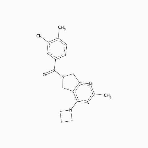 Cc1nc2c(c(N3CCC3)n1)CN(C(=O)c1ccc(C)c(Cl)c1)C2